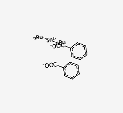 CCC[CH2][Sn+2][CH2]CCC.O=C([O-])c1ccccc1.O=C([O-])c1ccccc1